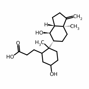 C=C1CC[C@H]2[C@H](O)[C@@H](C3(C)CCC(O)CC3CCC(=O)O)CC[C@]12C